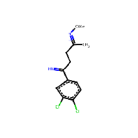 CO/N=C(\C)CCC(=N)c1ccc(Cl)c(Cl)c1